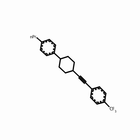 CCCc1ccc(C2CCC(C#Cc3ccc(C(F)(F)F)cc3)CC2)cc1